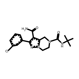 CC(C)(C)NC(=O)N1CCn2nc(-c3cccc(Cl)c3)c(C(N)=O)c2C1